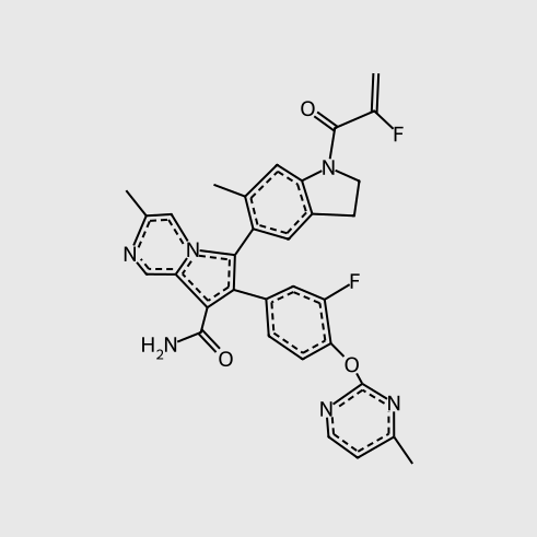 C=C(F)C(=O)N1CCc2cc(-c3c(-c4ccc(Oc5nccc(C)n5)c(F)c4)c(C(N)=O)c4cnc(C)cn34)c(C)cc21